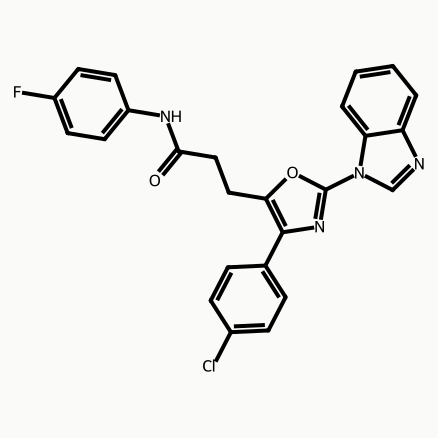 O=C(CCc1oc(-n2cnc3ccccc32)nc1-c1ccc(Cl)cc1)Nc1ccc(F)cc1